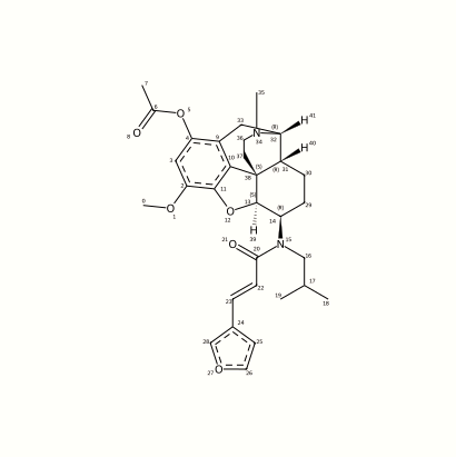 COc1cc(OC(C)=O)c2c3c1O[C@@H]1[C@H](N(CC(C)C)C(=O)C=Cc4ccoc4)CC[C@H]4[C@@H](C2)N(C)CC[C@]314